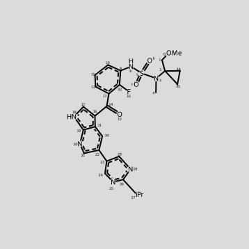 COCC1(N(C)S(=O)(=O)Nc2cccc(C(=O)c3c[nH]c4ncc(-c5cnc(C(C)C)nc5)cc34)c2F)CC1